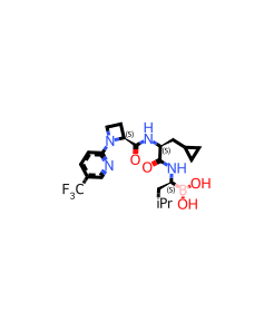 CC(C)C[C@@H](NC(=O)[C@H](CC1CC1)NC(=O)[C@@H]1CCN1c1ccc(C(F)(F)F)cn1)B(O)O